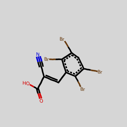 N#CC(=Cc1c(Br)c(Br)cc(Br)c1Br)C(=O)O